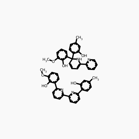 COc1cccc(-c2cccc(-c3cccc(-c4ccc(C)cc4O)n3)n2)c1O.COc1cccc(C2(c3ccc(C)cc3O)C=CC=C(c3ccccn3)N2)c1O